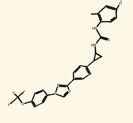 Cc1cc(Cl)ccc1NC(=S)NC1CC1c1ccc(-c2ncn(-c3ccc(OC(F)(F)F)cc3)n2)cc1